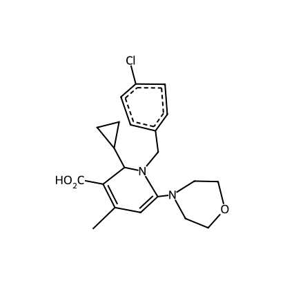 CC1=C(C(=O)O)C(C2CC2)N(Cc2ccc(Cl)cc2)C(N2CCOCC2)=C1